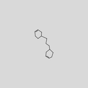 C1=CCC(CCCC2CC=CCC2)CC1